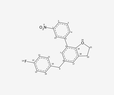 O=[N+]([O-])c1cccc(-c2cc(Cc3ccc(F)cc3)cc3c2OCC3)c1